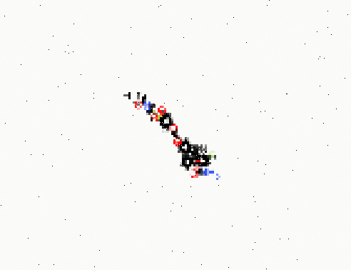 C=CC(=O)N1CC(S(=O)(=O)c2ccc(OCCOc3ccc(C(C#N)(c4cccc(F)c4)[C@H]4CCC[C@@H]4OC(N)=O)cc3)cc2)C1